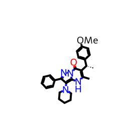 COc1ccc([C@H](C)c2c(C)[nH]c3c(N4CCCCC4)c(-c4ccccc4)nn3c2=O)cc1